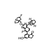 O=C1CCc2cc(O)cc(-c3ccc4c(N5C[C@H]6CC[C@@H](C5)N6)nc(OC[C@@]56CCCN5C[C@H](F)C6)nc4c3F)c21